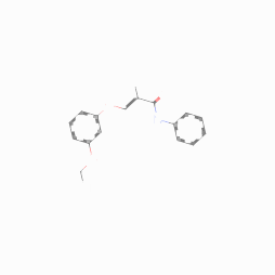 CCOc1cccc(O/C=C(\C)C(=O)Nc2ccccc2)c1